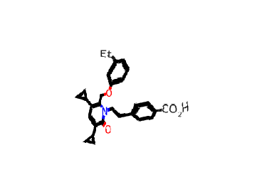 CCc1cccc(OCc2c(C3CC3)cc(C3CC3)c(=O)n2CCc2ccc(C(=O)O)cc2)c1